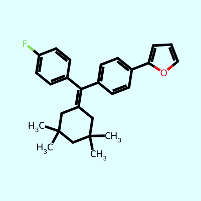 CC1(C)CC(=C(c2ccc(F)cc2)c2ccc(-c3ccco3)cc2)CC(C)(C)C1